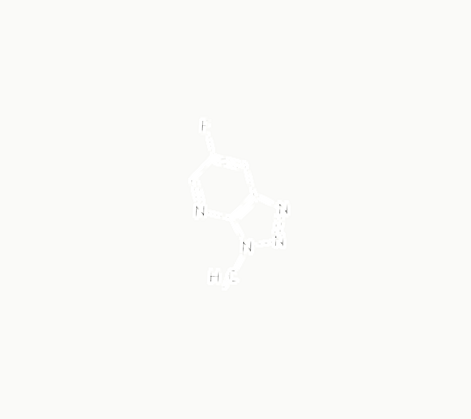 Cn1nnc2cc(F)cnc21